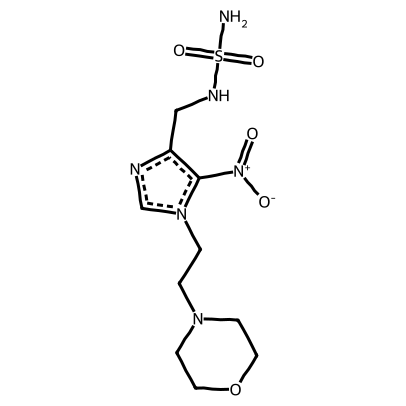 NS(=O)(=O)NCc1ncn(CCN2CCOCC2)c1[N+](=O)[O-]